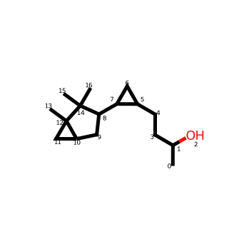 CC(O)CCC1CC1C1CC2CC2(C)C1(C)C